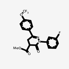 COC(=O)C1CC(c2ccc(OC(F)(F)F)cc2)=NN(c2cccc(F)c2)C1=O